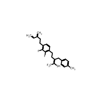 C=CC(=C)CCc1ccc(CC/C(Cc2ccc(C)cc2)=C(/S)C(F)(F)F)c(F)c1F